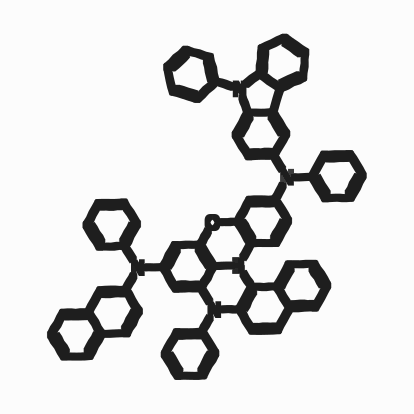 c1ccc(N(c2cc3c4c(c2)N(c2ccccc2)c2ccc5ccccc5c2B4c2ccc(N(c4ccccc4)c4ccc5c(c4)c4ccccc4n5-c4ccccc4)cc2O3)c2ccc3ccccc3c2)cc1